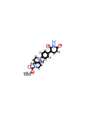 CC(C)(C)OC(=O)N1CC[C@H]2[C@@H]1CCN2c1ccc(C2CCC(=O)NC2=O)cc1